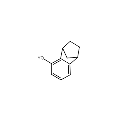 Oc1cccc2c1C1CCC2C1